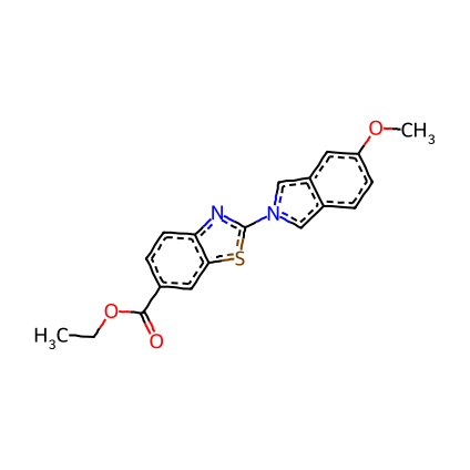 CCOC(=O)c1ccc2nc(-n3cc4ccc(OC)cc4c3)sc2c1